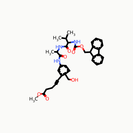 COC(=O)CCC#Cc1cc(NC(=O)C(C)NC(=O)C(NC(=O)OCC2c3ccccc3-c3ccccc32)C(C)C)ccc1CO